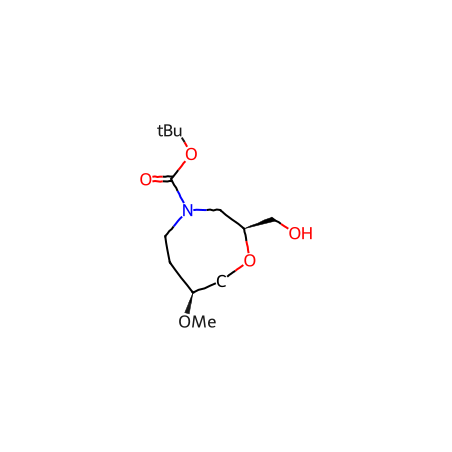 CO[C@H]1CCN(C(=O)OC(C)(C)C)C[C@@H](CO)OC1